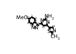 COc1ccc2c(c1)nnn2-c1cc(-c2cnc(C)s2)nc(N)n1